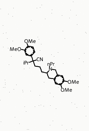 CCCN1Cc2cc(OC)c(OC)cc2CC1CCCC(C#N)(c1ccc(OC)c(OC)c1)C(C)C